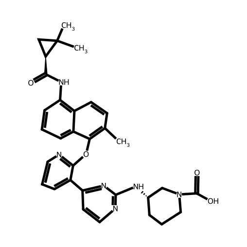 Cc1ccc2c(NC(=O)[C@H]3CC3(C)C)cccc2c1Oc1ncccc1-c1ccnc(N[C@H]2CCCN(C(=O)O)C2)n1